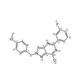 COc1ccc(Cn2cc3nc(-c4cccc(F)c4)nc(Cl)c3n2)cc1